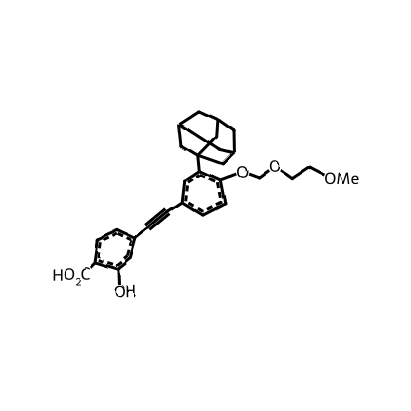 COCCOCOc1ccc(C#Cc2ccc(C(=O)O)c(O)c2)cc1C12CC3CC(CC(C3)C1)C2